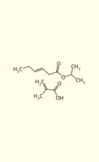 C=C(C)C(=O)O.CCC=CCC(=O)OC(C)C